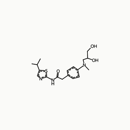 CC(C)c1cnc(NC(=O)Cc2ccc(N(C)CC(O)CO)cc2)s1